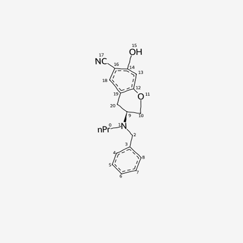 CCCN(Cc1ccccc1)[C@@H]1COc2cc(O)c(C#N)cc2C1